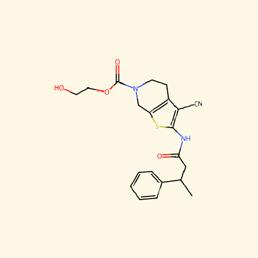 CC(CC(=O)Nc1sc2c(c1C#N)CCN(C(=O)OCCO)C2)c1ccccc1